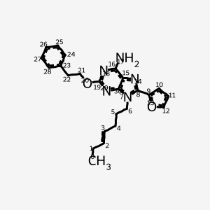 CCC=CCCCn1c(-c2ccco2)nc2c(N)nc(OCCc3ccccc3)nc21